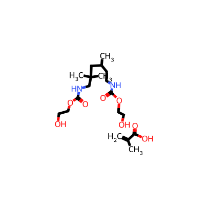 C=C(C)C(=O)O.CC(CCNC(=O)OCCO)CC(C)(C)CNC(=O)OCCO